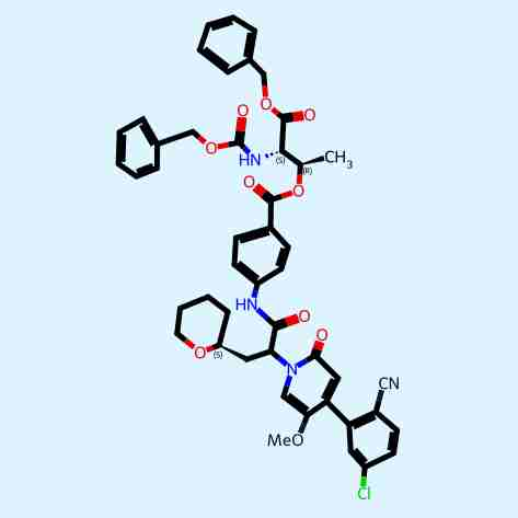 COc1cn(C(C[C@@H]2CCCCO2)C(=O)Nc2ccc(C(=O)O[C@H](C)[C@H](NC(=O)OCc3ccccc3)C(=O)OCc3ccccc3)cc2)c(=O)cc1-c1cc(Cl)ccc1C#N